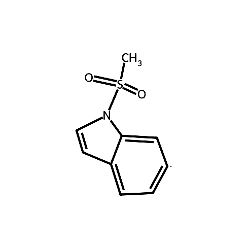 CS(=O)(=O)n1ccc2cc[c]cc21